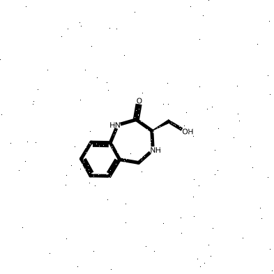 O=C1Nc2ccccc2CN[C@@H]1CO